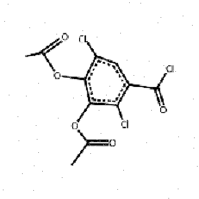 CC(=O)Oc1c(Cl)cc(C(=O)Cl)c(Cl)c1OC(C)=O